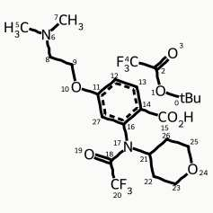 CC(C)(C)OC(=O)C(F)(F)F.CN(C)CCOc1ccc(C(=O)O)c(N(C(=O)C(F)(F)F)C2CCOCC2)c1